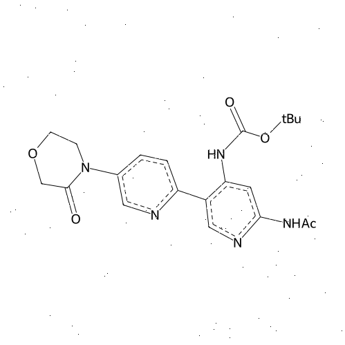 CC(=O)Nc1cc(NC(=O)OC(C)(C)C)c(-c2ccc(N3CCOCC3=O)cn2)cn1